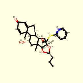 CCC[C@@H]1O[C@@H]2CC3C4CCC5=CC(=O)C=CC5(C)C4[C@@H](O)CC3(C)[C@]2(C(=O)CSc2ccccn2)O1